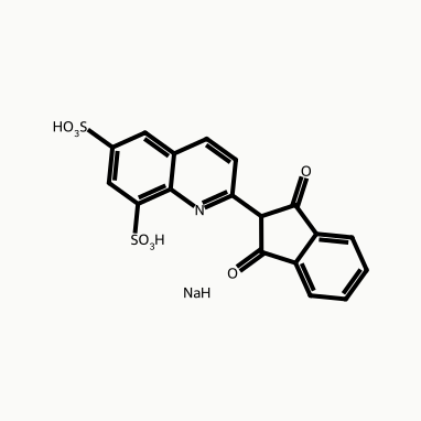 O=C1c2ccccc2C(=O)C1c1ccc2cc(S(=O)(=O)O)cc(S(=O)(=O)O)c2n1.[NaH]